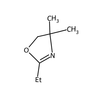 CCC1=NC(C)(C)CO1